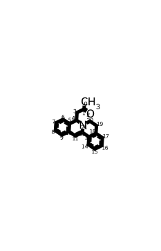 CC(=O)CC1c2ccccc2C=C2c3ccccc3CCN21